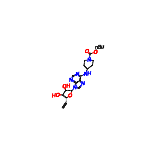 C#C[C@H]1O[C@@H](n2cnc3c(NC4CCN(C(=O)OCCCC)CC4)ncnc32)[C@H](O)[C@@H]1O